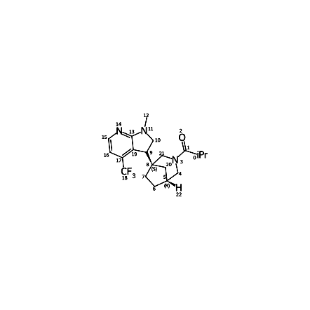 CC(C)C(=O)N1C[C@@H]2CC[C@@](C3CN(C)c4nccc(C(F)(F)F)c43)(C2)C1